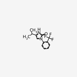 CC(C)c1cn(-c2ccccc2C(F)(F)F)c(=O)[nH]1